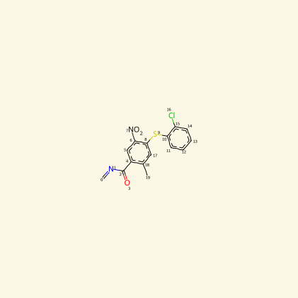 C=NC(=O)c1cc([N+](=O)[O-])c(Sc2ccccc2Cl)cc1C